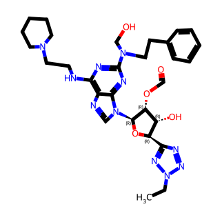 CCn1nnc([C@H]2O[C@@H](n3cnc4c(NCCN5CCCCC5)nc(N(CO)CCc5ccccc5)nc43)[C@H](OC=O)[C@@H]2O)n1